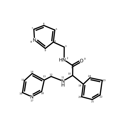 O=C(NCc1cccnc1)C(NCc1cccnc1)c1ccccc1